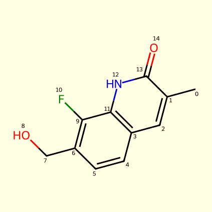 Cc1cc2ccc(CO)c(F)c2[nH]c1=O